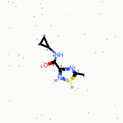 Cc1nc(C(=O)NC2CC2)ns1